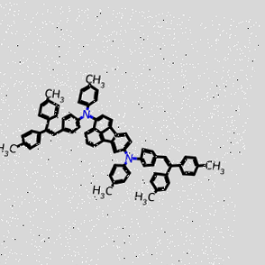 Cc1ccc(C(=Cc2ccc(N(c3ccc(C)cc3)c3ccc4c(c3)-c3cccc5c(N(c6ccc(C)cc6)c6ccc(C=C(c7ccc(C)cc7)c7ccc(C)cc7)cc6)ccc-4c35)cc2)c2ccc(C)cc2)cc1